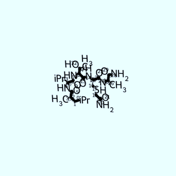 CC(C)C[C@H](C)C(=O)N[C@H](C(=O)N[C@H](C(=O)N[C@@H](CSCC(N)=O)C(=O)N[C@@H](C)C(N)=O)[C@@H](C)O)C(C)C